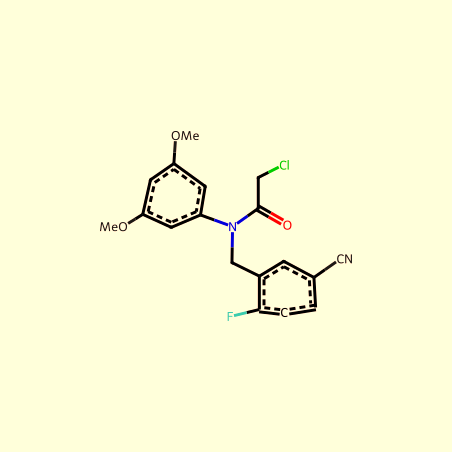 COc1cc(OC)cc(N(Cc2cc(C#N)ccc2F)C(=O)CCl)c1